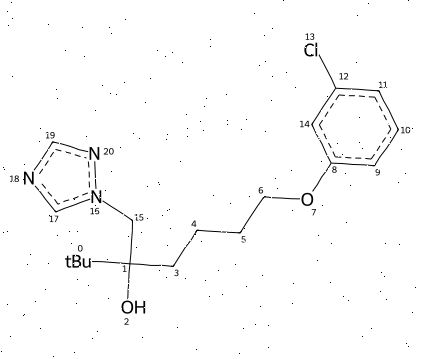 CC(C)(C)C(O)(CCCCOc1cccc(Cl)c1)Cn1cncn1